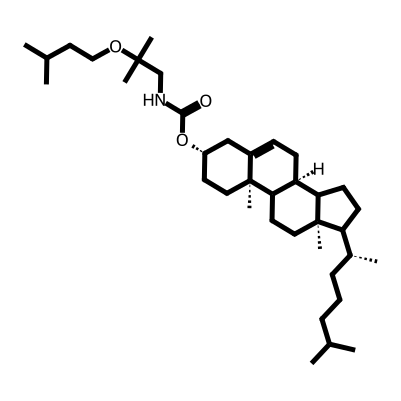 CC(C)CCC[C@@H](C)C1CCC2[C@@H]3CC=C4C[C@@H](OC(=O)NCC(C)(C)OCCC(C)C)CC[C@]4(C)C3CC[C@@]21C